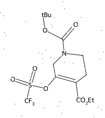 CCOC(=O)C1=C(OS(=O)(=O)C(F)(F)F)CN(C(=O)OC(C)(C)C)CC1